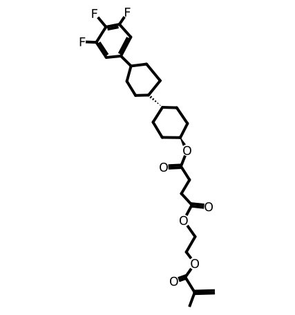 C=C(C)C(=O)OCCOC(=O)CCC(=O)O[C@H]1CC[C@H](C2CCC(c3cc(F)c(F)c(F)c3)CC2)CC1